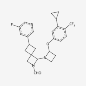 O=CN1CC2(CC(c3cncc(F)c3)C2)C1N1CCC1Oc1ccc(C(F)(F)F)c(C2CC2)c1